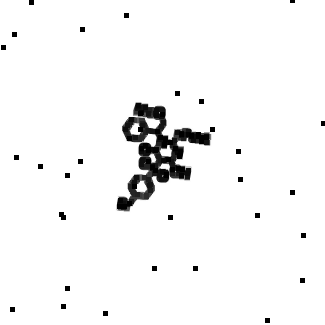 CCCCCc1nc(O)c(S(=O)(=O)c2ccc(Br)cc2)c(=O)n1C(COC)c1ccccc1